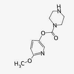 COc1ccc(OC(=O)N2CCNCC2)cn1